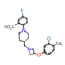 N#Cc1ccc(OC2CN(CC3CCN(c4ccc(F)cc4C(=O)O)CC3)C2)cc1Cl